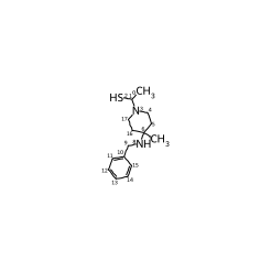 CC(S)N1CCC(C)(NCc2ccccc2)CC1